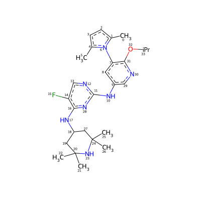 Cc1ccc(C)n1-c1cc(Nc2ncc(F)c(NC3CC(C)(C)NC(C)(C)C3)n2)cnc1OC(C)C